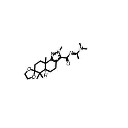 C/C(=N\C(=O)c1c2c(nn1C)C1(C)CCC3(OCCO3)C(C)(C)[C@@H]1CC2)N(C)C